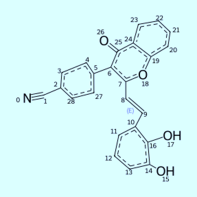 N#Cc1ccc(-c2c(/C=C/c3cccc(O)c3O)oc3ccccc3c2=O)cc1